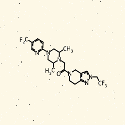 CC1CN(c2ccc(C(F)(F)F)cn2)CC(C)N1CC(=O)N1CCc2nn(CC(F)(F)F)cc2C1